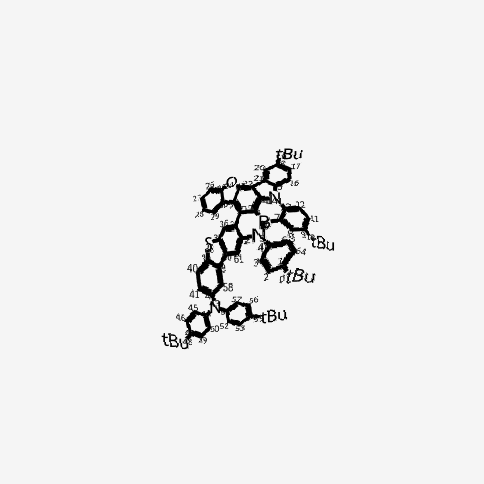 CC(C)(C)c1ccc(N2B3c4cc(C(C)(C)C)ccc4-n4c5ccc(C(C)(C)C)cc5c5c6oc7ccccc7c6c(c3c54)-c3cc4sc5ccc(N(c6ccc(C(C)(C)C)cc6)c6ccc(C(C)(C)C)cc6)cc5c4cc32)cc1